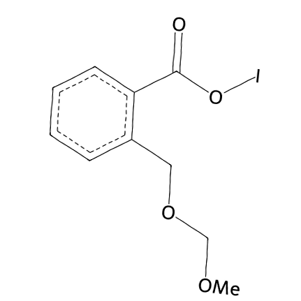 COCOCc1ccccc1C(=O)OI